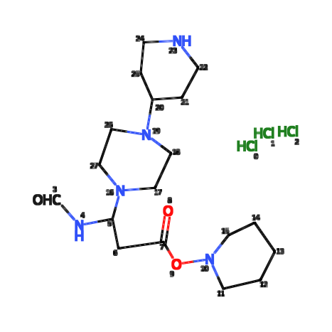 Cl.Cl.Cl.O=CNC(CC(=O)ON1CCCCC1)N1CCN(C2CCNCC2)CC1